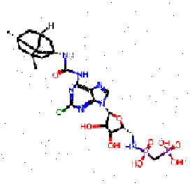 C[C@]12C[C@@H]3C[C@](C)(C1)C[C@@](NC(=O)Nc1nc(Cl)nc4c1ncn4[C@@H]1O[C@H](CNP(=O)(O)CP(=O)(O)O)C(O)C1O)(C3)C2